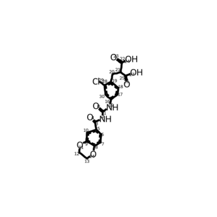 O=C(NC(=O)c1ccc2c(c1)OCCO2)Nc1ccc(CC(C(=O)O)C(=O)O)c(Cl)c1